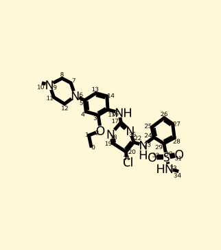 CCOc1cc(N2CCN(C)CC2)ccc1Nc1ncc(Cl)c(Nc2ccccc2S(=O)(=O)NC)n1